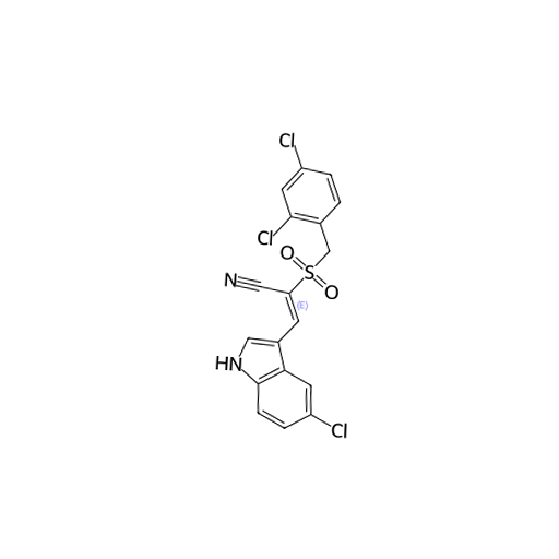 N#C/C(=C\c1c[nH]c2ccc(Cl)cc12)S(=O)(=O)Cc1ccc(Cl)cc1Cl